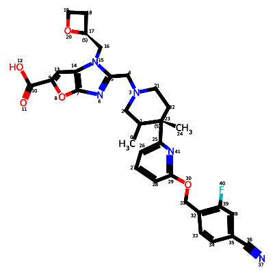 CC1CN(Cc2nc3oc(C(=O)O)cc3n2C[C@@H]2CCO2)CC[C@]1(C)c1cccc(OCc2ccc(C#N)cc2F)n1